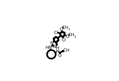 C#CC(=O)N[C@H]1CCCCCCC[C@@H](Nc2ncc3cc(-c4c(Cl)c(OC)cc(OC)c4Cl)ccc3n2)C1